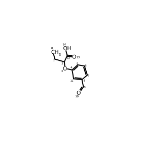 CCC(Oc1cccc(C=O)c1)C(=O)O